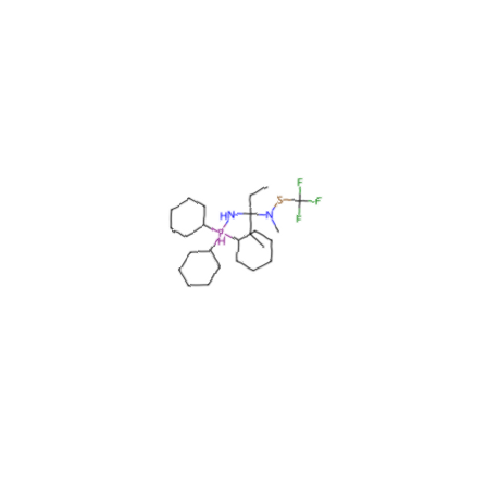 CCC(CC)(N[PH](C1CCCCC1)(C1CCCCC1)C1CCCCC1)N(C)SC(F)(F)F